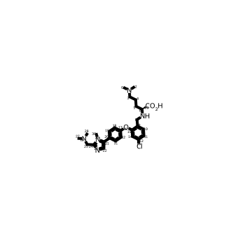 CN(C)CCC[C@H](NCc1ccc(Cl)cc1Oc1ccc(-c2cnc(CN(C)C)n2C)cc1)C(=O)O